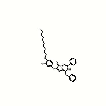 O=c1c(Cc2ccc(OCCCCCCCCSO)c(Cl)c2)nc2c(Cc3ccccc3)[nH]c(-c3ccccc3)cn1-2